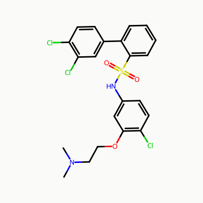 CN(C)CCOc1cc(NS(=O)(=O)c2ccccc2-c2ccc(Cl)c(Cl)c2)ccc1Cl